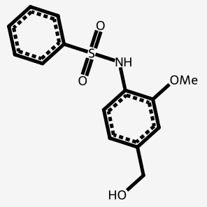 COc1cc(CO)ccc1NS(=O)(=O)c1ccccc1